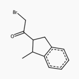 CC1c2ccccc2CC1C(=O)CBr